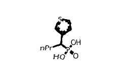 CCCC(c1ccsc1)P(=O)(O)O